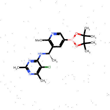 COc1ncc(B2OC(C)(C)C(C)(C)O2)cc1[C@H](C)Nc1nc(C)nc(C)c1Cl